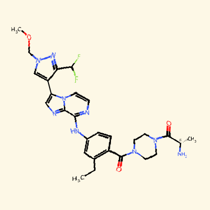 CCc1cc(Nc2nccn3c(-c4cn(COC)nc4C(F)F)cnc23)ccc1C(=O)N1CCN(C(=O)[C@H](C)N)CC1